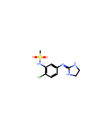 CS(=O)(=O)Nc1cc(N=C2NCCN2)ccc1Cl